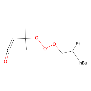 CCCCC(CC)COOOC(C)(C)C=C=O